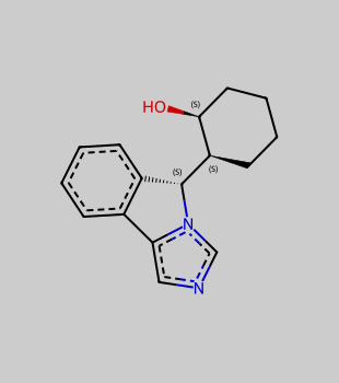 O[C@H]1CCCC[C@H]1[C@H]1c2ccccc2-c2cncn21